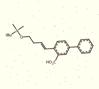 CC(C)(C)[Si](C)(C)OCCC=Cc1ccc(-c2ccccc2)cc1C(=O)O